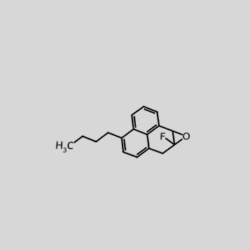 CCCCc1ccc2c3c(cccc13)C1OC1(F)C2